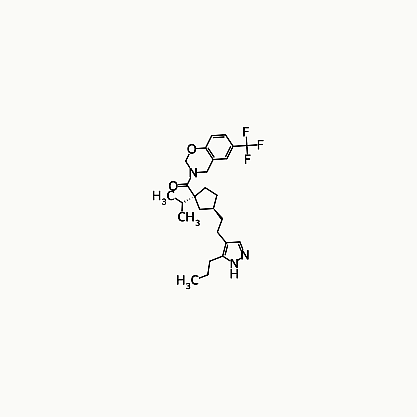 CCCc1[nH]ncc1CC[C@@H]1CC[C@@](C(=O)N2COc3ccc(C(F)(F)F)cc3C2)(C(C)C)C1